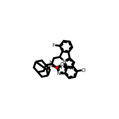 OC(CC1c2c(F)cccc2-c2cncn21)C12CC3CC(C1)C(Nc1nc4ccc(Cl)cc4o1)C(C3)C2